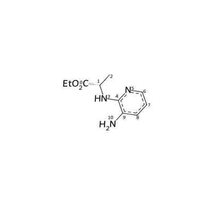 CCOC(=O)[C@H](C)Nc1ncccc1N